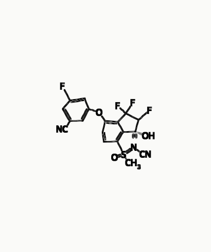 CS(=O)(=NC#N)c1ccc(Oc2cc(F)cc(C#N)c2)c2c1[C@@H](O)C(F)C2(F)F